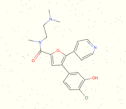 CN(C)CCN(C)C(=O)c1cc(-c2ccc(Cl)c(O)c2)c(-c2ccncc2)o1